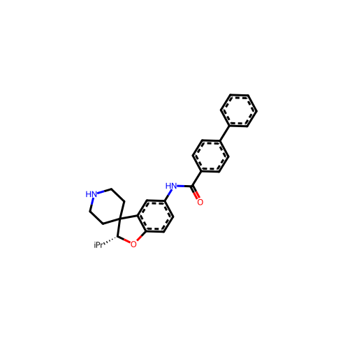 CC(C)[C@H]1Oc2ccc(NC(=O)c3ccc(-c4ccccc4)cc3)cc2C12CCNCC2